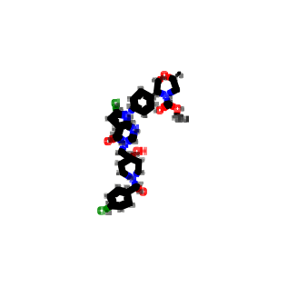 C[C@@H]1CN(C(=O)OC(C)(C)C)[C@H](c2ccc(-n3c(Cl)cc4c(=O)n(CC5(O)CCN(C(=O)c6ccc(Cl)cc6)CC5)cnc43)cc2)CO1